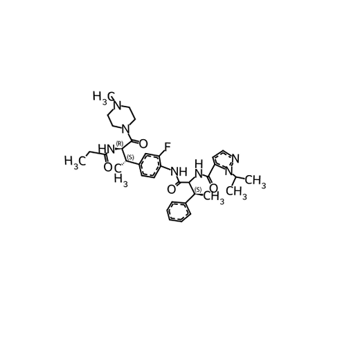 CCC(=O)N[C@@H](C(=O)N1CCN(C)CC1)[C@@H](C)c1ccc(NC(=O)C(NC(=O)c2ccnn2C(C)C)[C@@H](C)c2ccccc2)c(F)c1